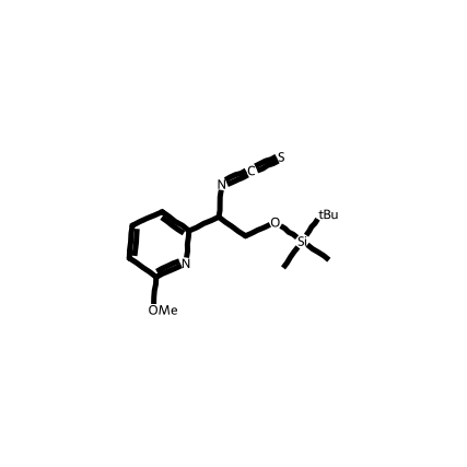 COc1cccc(C(CO[Si](C)(C)C(C)(C)C)N=C=S)n1